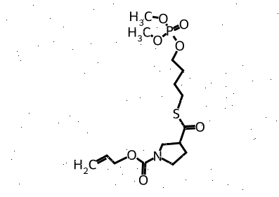 C=CCOC(=O)N1CCC(C(=O)SCCCCOP(=O)(OC)OC)C1